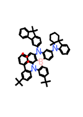 Cc1cc2c3c(c1)N(c1ccc(C(C)(C)C)cc1-c1ccccc1)c1cc(C(C)(C)C)ccc1B3c1ccc(N3c4ccccc4C4(C)CCCCC34C)cc1N2c1ccc2c(c1)-c1ccccc1C2(C)C